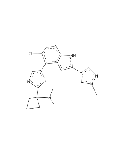 CN(C)C1(c2ncc(-c3c(Cl)cnc4[nH]c(-c5cnn(C)c5)cc34)s2)CCC1